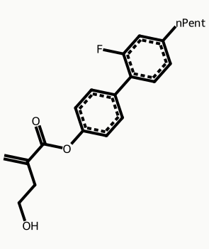 C=C(CCO)C(=O)Oc1ccc(-c2ccc(CCCCC)cc2F)cc1